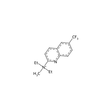 CC[N+](C)(CC)c1ccc2cc(C(F)(F)F)ccc2n1